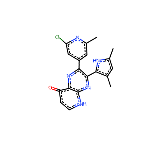 Cc1cc(-c2nc3c(=O)cc[nH]c3nc2-c2[nH]c(C)cc2C)cc(Cl)n1